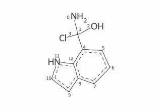 NC(O)(Cl)c1cccc2cc[nH]c12